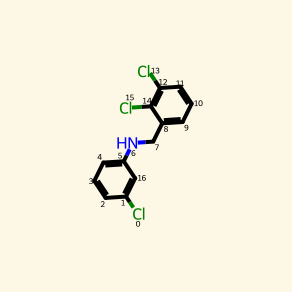 Clc1cccc(NCc2cccc(Cl)c2Cl)c1